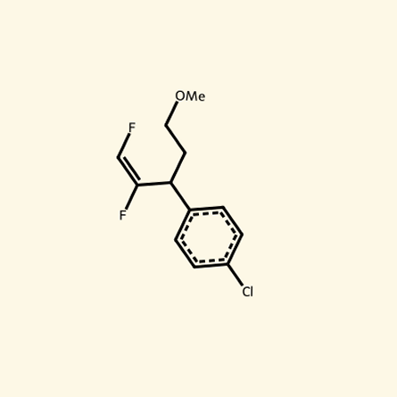 COCCC(/C(F)=C\F)c1ccc(Cl)cc1